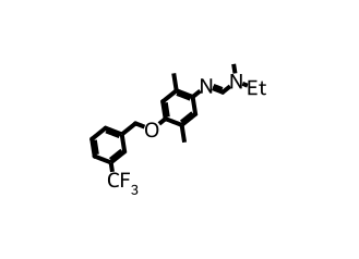 CCN(C)C=Nc1cc(C)c(OCc2cccc(C(F)(F)F)c2)cc1C